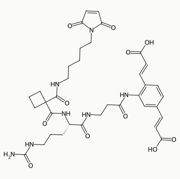 NC(=O)NCCC[C@H](NC(=O)C1(C(=O)NCCCCCN2C(=O)C=CC2=O)CCC1)C(=O)NCCC(=O)Nc1cc(/C=C/C(=O)O)ccc1/C=C/C(=O)O